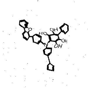 Oc1c(O)c(N(c2ccc(-c3cccc4c3oc3ccccc34)cc2)c2ccc(C3C=CC=C3)cc2)c(O)c(O)c1-c1ccccc1